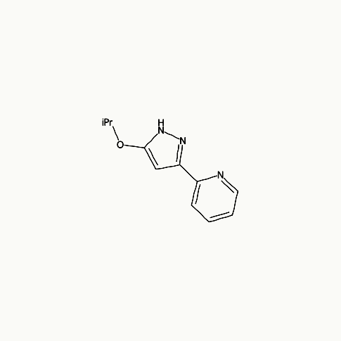 CC(C)Oc1cc(-c2ccccn2)n[nH]1